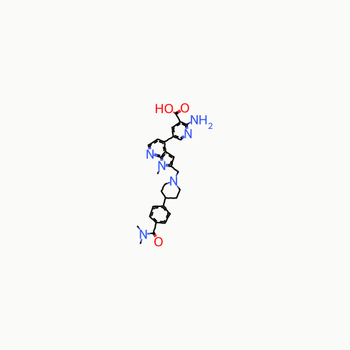 CN(C)C(=O)c1ccc(C2CCN(Cc3cc4c(-c5cnc(N)c(C(=O)O)c5)ccnc4n3C)CC2)cc1